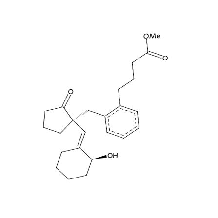 COC(=O)CCCc1ccccc1C[C@]1(/C=C2\CCCC[C@@H]2O)CCCC1=O